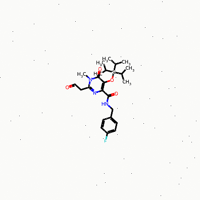 CC(C)[Si](Oc1c(C(=O)NCc2ccc(F)cc2)nc(CC=O)n(C)c1=O)(C(C)C)C(C)C